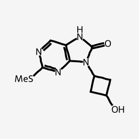 CSc1ncc2[nH]c(=O)n(C3CC(O)C3)c2n1